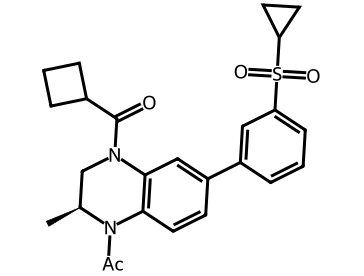 CC(=O)N1c2ccc(-c3cccc(S(=O)(=O)C4CC4)c3)cc2N(C(=O)C2CCC2)C[C@@H]1C